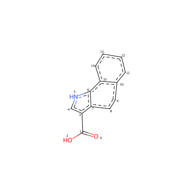 O=C(O)c1c[nH]c2c1ccc1ccccc12